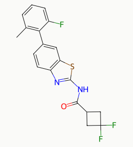 Cc1cccc(F)c1-c1ccc2nc(NC(=O)C3CC(F)(F)C3)sc2c1